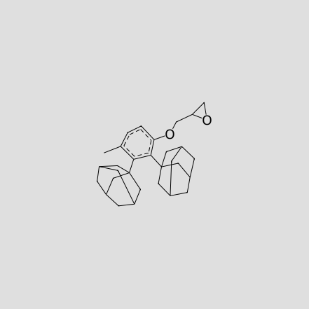 Cc1ccc(OCC2CO2)c(C23CC4CC(CC(C4)C2)C3)c1C12CC3CC(CC(C3)C1)C2